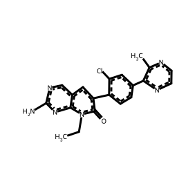 CCn1c(=O)c(-c2ccc(-c3nccnc3C)cc2Cl)cc2cnc(N)nc21